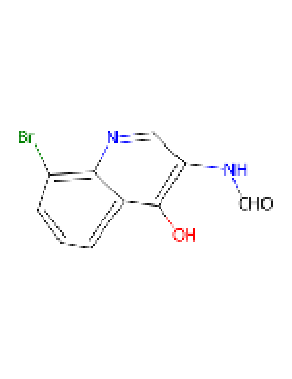 O=CNc1cnc2c(Br)cccc2c1O